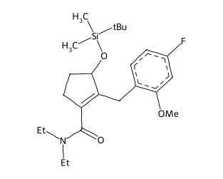 CCN(CC)C(=O)C1=C(Cc2ccc(F)cc2OC)C(O[Si](C)(C)C(C)(C)C)CC1